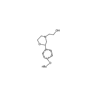 CCCCOc1ccc(C2CN(CCO)CCO2)cc1